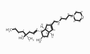 CCCC[C@](C)(O)C/C=C/[C@@H]1[C@H]2CC(CSCCCN3CCOCC3)=C[C@H]2C[C@H]1O